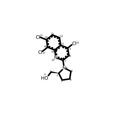 OC[C@@H]1CCCN1c1cc(Cl)c2ccc(Cl)c(Cl)c2n1